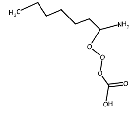 CCCCCCC(N)OOOC(=O)O